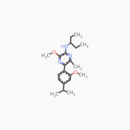 CCC(CC)Nc1nc(C)c(-c2ccc(C(C)C)cc2OC)nc1OC